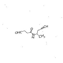 C#CCC(C)NC(=O)CCC=O